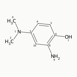 CN(C)c1ccc(O)c(N)c1